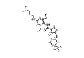 COc1nc(NCCCC(C)C)nc(OC)c1NC(=O)c1nnc(Oc2cccc(C(C)(C)C)c2)n1C